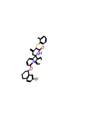 C=C1CC(C(/C=C\C)=C/C)(c2cccc(OC3CCCc4ccc(Br)cc43)n2)NC(=O)C1Sc1ccccc1C